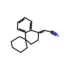 N#C/C=C1\CCC2(CCCCC2)c2ccccc21